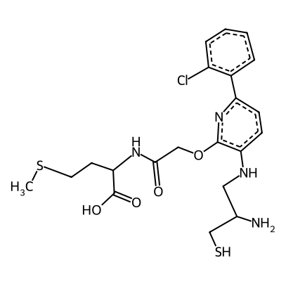 CSCCC(NC(=O)COc1nc(-c2ccccc2Cl)ccc1NCC(N)CS)C(=O)O